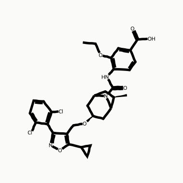 CCOc1cc(C(=O)O)ccc1NC(=O)N1C2C[C@H](OCc3c(-c4c(Cl)cccc4Cl)noc3C3CC3)CC1[C@H](C)C2